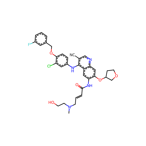 CN(C/C=C/C(=O)Nc1cc2c(Nc3ccc(OCc4cccc(F)c4)c(Cl)c3)c(C#N)cnc2cc1OC1CCOC1)CCO